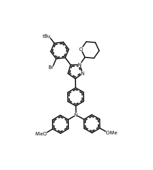 COc1ccc(N(c2ccc(OC)cc2)c2ccc(-c3cc(-c4ccc(C(C)(C)C)cc4Br)n(C4CCCCO4)n3)cc2)cc1